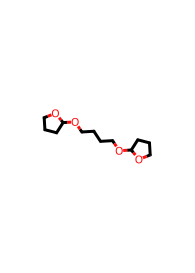 C(CCOC1CCCO1)COC1CCCO1